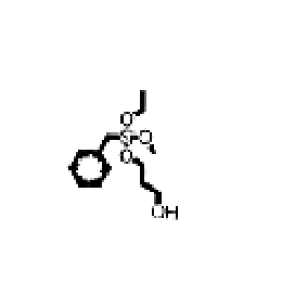 CCO[Si](Cc1ccccc1)(OC)OCCCO